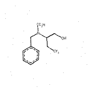 O=C(O)N(Cc1ccccc1)C(CO)CC(F)(F)F